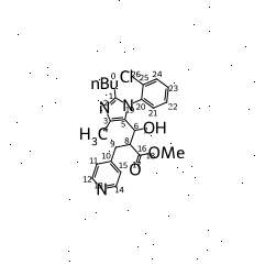 CCCCc1nc(C)c(C(O)C(Cc2ccncc2)C(=O)OC)n1-c1ccccc1Cl